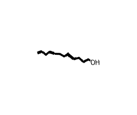 C=CC/C=C/CC/C=C/CCCO